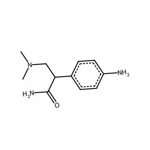 CN(C)CC(C(N)=O)c1ccc(N)cc1